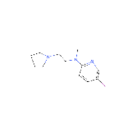 CN(CCN1CCCC1)c1ccc(I)cn1